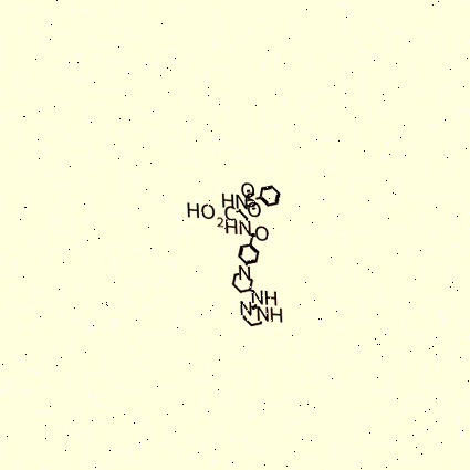 O=C(NC[C@H](NS(=O)(=O)c1ccccc1)C(=O)O)c1ccc(N2CCC[C@H](NC3=NCCCN3)C2)cc1